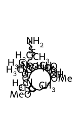 COc1cc2cc(c1Cl)N(C)C(=O)C[C@H](OC(=O)[C@H](C)N(C)C(=O)CCC(C)(C)SSCCN)[C@]1(C)O[C@H]1[C@H](C)[C@@H]1C[C@@](O)(NC(=O)O1)[C@H](OC)/C=C/C=C(\C)C2